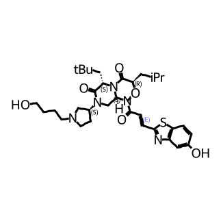 CC(C)C[C@H]1ON(C(=O)/C=C/c2nc3cc(O)ccc3s2)[C@H]2CN([C@H]3CCN(CCCCO)C3)C(=O)[C@H](CC(C)(C)C)N2C1=O